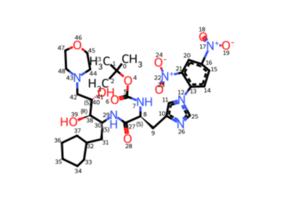 CC(C)(C)OC(=O)N[C@@H](Cc1cn(-c2ccc([N+](=O)[O-])cc2[N+](=O)[O-])cn1)C(=O)N[C@@H](CC1CCCCC1)[C@@H](O)[C@@H](O)CN1CCOCC1